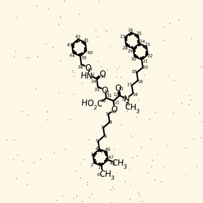 Cc1ccc(CCCCCOC(C(=O)N(C)CCCCCc2ccc3ccccc3c2)C(OCC(=O)NOCc2ccccc2)C(=O)O)cc1C